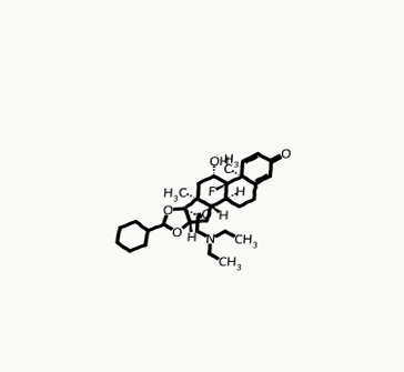 CCN(CC)CC(=O)[C@@]12OC(C3CCCCC3)O[C@H]1C[C@H]1[C@@H]3CCC4=CC(=O)C=C[C@]4(C)[C@@]3(F)[C@@H](O)C[C@@]12C